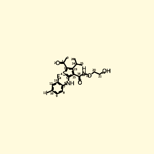 CC(=O)c1sc(Nc2ccc(I)cc2F)c(C(=O)NOCCO)c1C(C)C